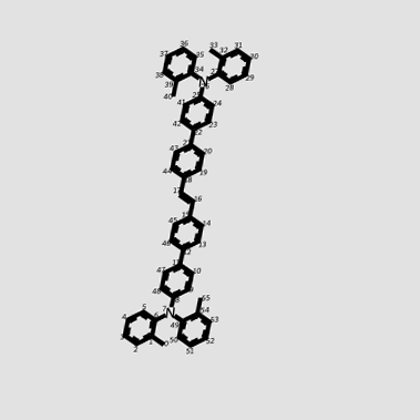 Cc1ccccc1N(c1ccc(-c2ccc(/C=C/c3ccc(-c4ccc(N(c5ccccc5C)c5ccccc5C)cc4)cc3)cc2)cc1)c1ccccc1C